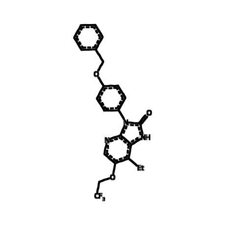 CCc1c(OCC(F)(F)F)cnc2c1[nH]c(=O)n2-c1ccc(OCc2ccccc2)cc1